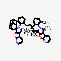 Cc1cccc2c1N1[C@@H](C)c3c(oc4ncccc34)C1(C)C(C)(C)C2(C)CCc1ccccc1N1[C@@H](C)c2c(oc3ncccc23)C12C1CC3CC(C1)CC2C3